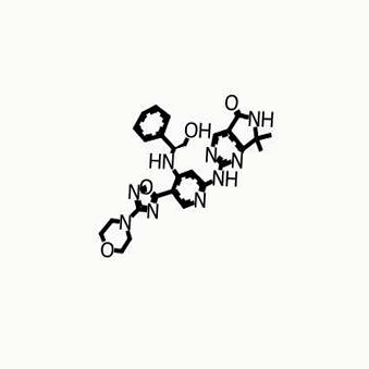 CC1(C)NC(=O)c2cnc(Nc3cc(N[C@H](CO)c4ccccc4)c(-c4nc(N5CCOCC5)no4)cn3)nc21